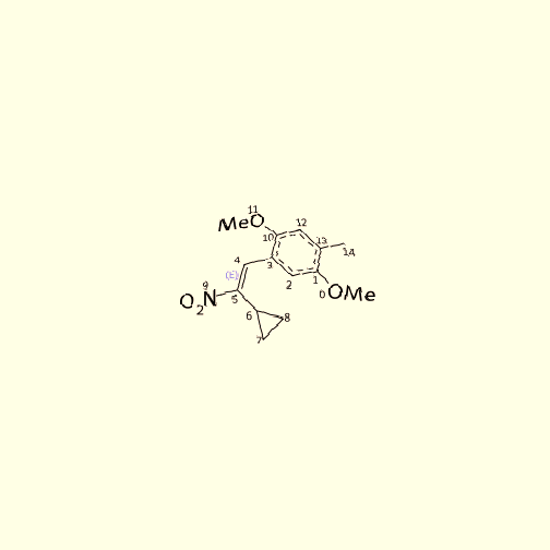 COc1cc(/C=C(\C2CC2)[N+](=O)[O-])c(OC)cc1C